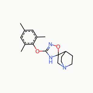 Cc1cc(C)c(OC2=NOC3(CN4CCC3CC4)N2)c(C)c1